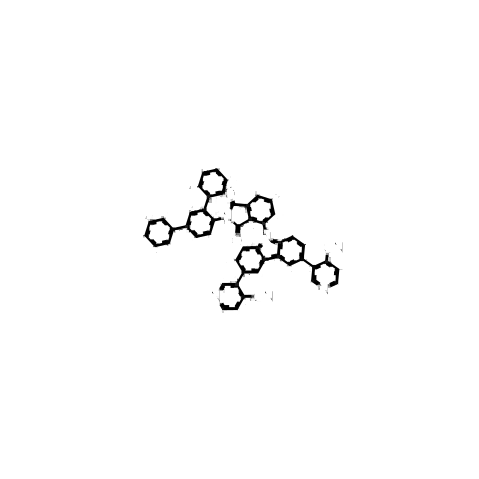 N#Cc1ccncc1-c1ccc2c(c1)c1cc(-c3cnccc3C#N)ccc1n2-c1cccc2c1C(=O)N(c1ccc(-c3ccccc3)cc1-c1ccccc1)C2=O